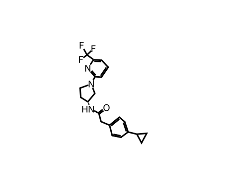 O=C(Cc1ccc(C2CC2)cc1)N[C@@H]1CCN(c2cccc(C(F)(F)F)n2)C1